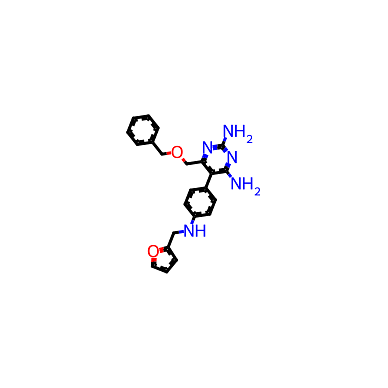 Nc1nc(N)c(-c2ccc(NCc3ccco3)cc2)c(COCc2ccccc2)n1